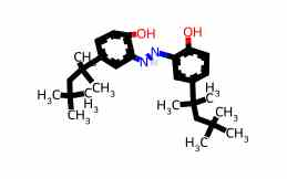 CC(C)(C)CC(C)(C)c1ccc(O)c(/N=N/c2cc(C(C)(C)CC(C)(C)C)ccc2O)c1